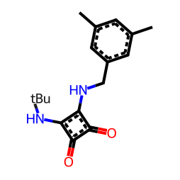 Cc1cc(C)cc(CNc2c(NC(C)(C)C)c(=O)c2=O)c1